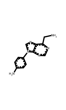 NCc1ncnc2c1ncn2-c1ccc(N)cc1